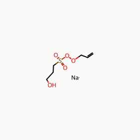 C=CCOOS(=O)(=O)CCCO.[Na]